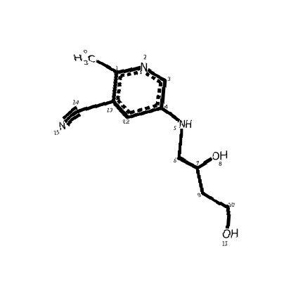 Cc1ncc(NCC(O)CCO)cc1C#N